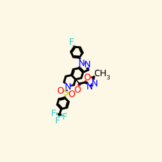 Cc1nnc(C(=O)[C@]23Cc4cnn(-c5ccc(F)cc5)c4C=C2CCN(S(=O)(=O)c2ccc(C(F)(F)F)cc2)C3)o1